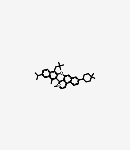 Cc1c2c(c(CC(C)(C)C)c3ccc(C(C)C)cc13)Oc1cc3cc(C4CCC(C)(C)CC4)ccc3c3cc[n+](C)c-2c13